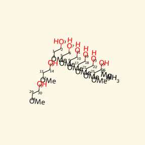 COCCO.COCCO.COCCO.COCCO.COCCO.COCCO.COCCO.COCCO.[AlH3].[Mg]